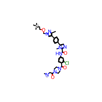 Cc1nn(COCC[Si](C)(C)C)cc1-c1ccc(-c2cnc(C(=O)Nc3ccc(C(=O)N4CCN(C(=O)CN(C)C)CC4)c(Cl)c3)n2C)cc1